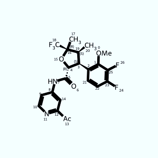 COc1c([C@H]2[C@H](C(=O)Nc3ccnc(C(C)=O)c3)O[C@@](C)(C(F)(F)F)[C@H]2C)ccc(F)c1F